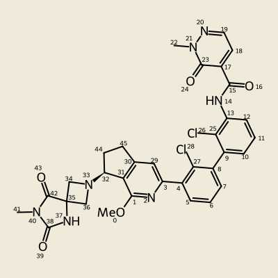 COc1nc(-c2cccc(-c3cccc(NC(=O)c4ccnn(C)c4=O)c3Cl)c2Cl)cc2c1[C@@H](N1CC3(C1)NC(=O)N(C)C3=O)CC2